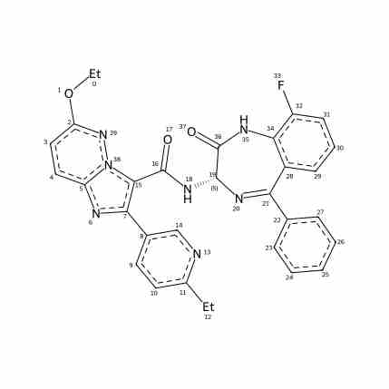 CCOc1ccc2nc(-c3ccc(CC)nc3)c(C(=O)N[C@H]3N=C(c4ccccc4)c4cccc(F)c4NC3=O)n2n1